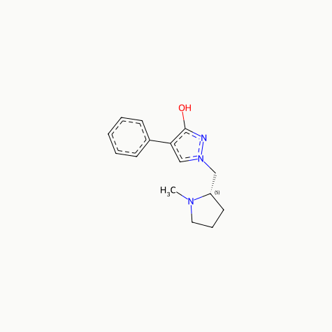 CN1CCC[C@H]1Cn1cc(-c2ccccc2)c(O)n1